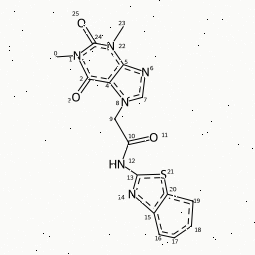 Cn1c(=O)c2c(ncn2CC(=O)Nc2nc3ccccc3s2)n(C)c1=O